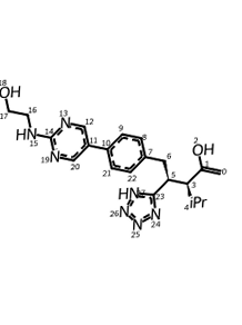 C=C(O)[C@@H](C(C)C)[C@H](Cc1ccc(-c2cnc(NCCO)nc2)cc1)c1nnn[nH]1